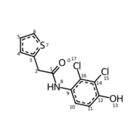 O=C(Cc1cccs1)Nc1ccc(O)c(Cl)c1Cl